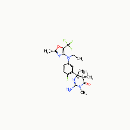 CCN(c1ccc(F)c([C@@]2(C)N=C(N)N(C)C(=O)C2(C)C)c1)c1nc(C)oc1C(F)(F)F